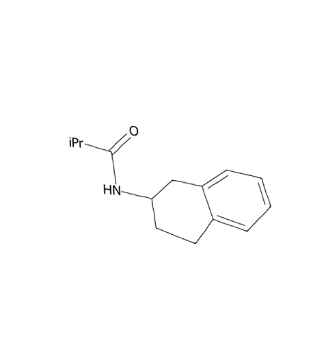 CC(C)C(=O)NC1CCc2ccccc2C1